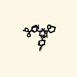 COC(=O)c1ccnc(/C(CNc2ccc(F)cc2)=N/OC2CCCCO2)c1